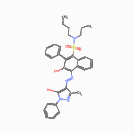 CCCCN(CCC)S(=O)(=O)c1c(-c2ccccc2)c(O)c(N=Nc2c(C)nn(-c3ccccc3)c2O)c2ccccc12